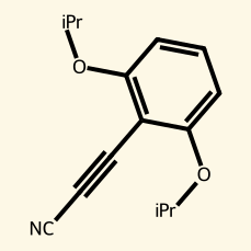 CC(C)Oc1cccc(OC(C)C)c1C#CC#N